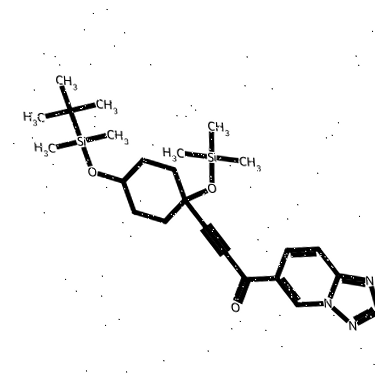 CC(C)(C)[Si](C)(C)OC1CCC(C#CC(=O)c2ccc3ncnn3c2)(O[Si](C)(C)C)CC1